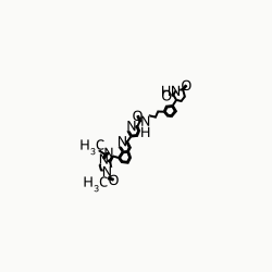 CCc1nc(-c2cccc3cc(-c4ccc(C(=O)NCCCc5cccc(C6CCC(=O)NC6=O)c5)nc4)ncc23)c2n1CCN(C(C)=O)C2